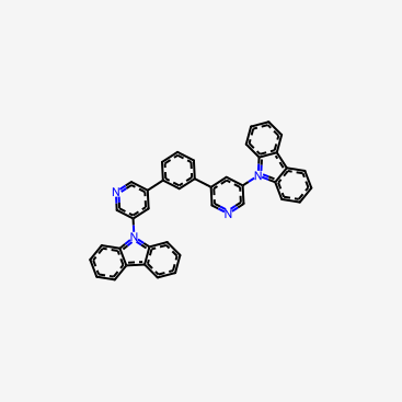 c1cc(-c2cncc(-n3c4ccccc4c4ccccc43)c2)cc(-c2cncc(-n3c4ccccc4c4ccccc43)c2)c1